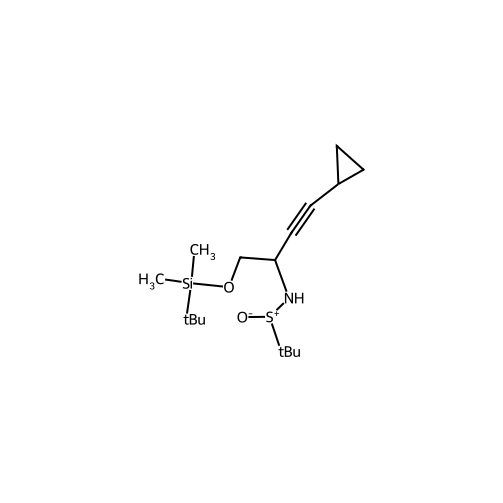 CC(C)(C)[S+]([O-])NC(C#CC1CC1)CO[Si](C)(C)C(C)(C)C